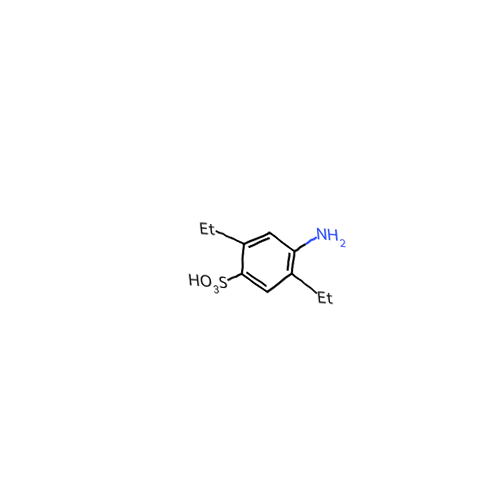 CCc1cc(S(=O)(=O)O)c(CC)cc1N